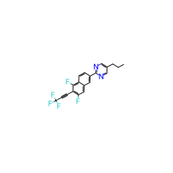 CCCc1cnc(-c2ccc3c(F)c(C#CC(F)(F)F)c(F)cc3c2)nc1